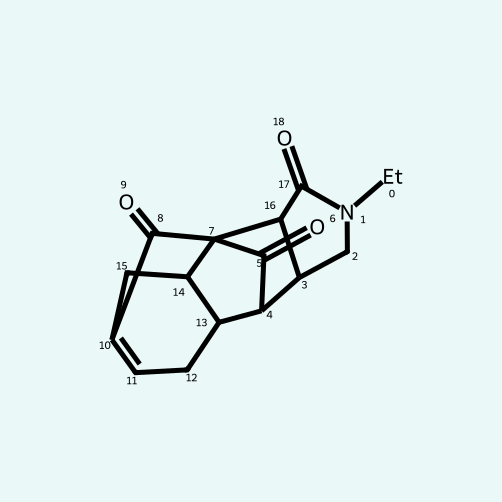 CCN1CC2C3C(=O)C4(C(=O)C5=CCC3C4C5)C2C1=O